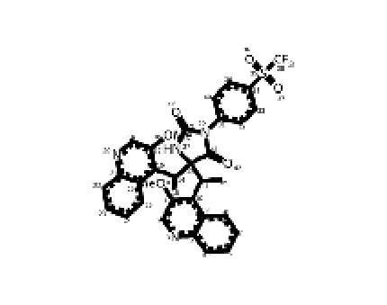 COc1cnc2ccccc2c1C(C)C1(C(C)c2c(OC)cnc3ccccc23)NC(=O)N(c2ccc(S(=O)(=O)C(F)(F)F)cc2)C1=O